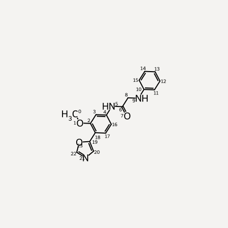 COc1cc(NC(=O)CNc2ccccc2)ccc1-c1cnco1